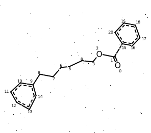 O=C(OCCCCCCc1ccccc1)c1ccccc1